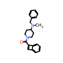 CN(Cc1ccccc1)C1CCN(C(=O)C2=Cc3ccccc32)CC1